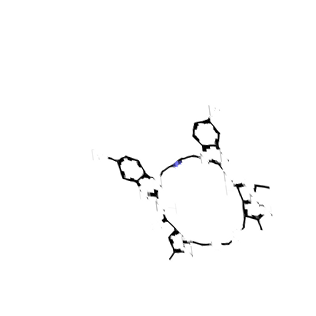 CCn1nc(C)c2c1C(=O)Nc1nc3cc(Br)ccc3n1C/C=C/Cn1c(nc3cc(Br)ccc31)NC(=O)c1cc(C)nn1CCCCC2